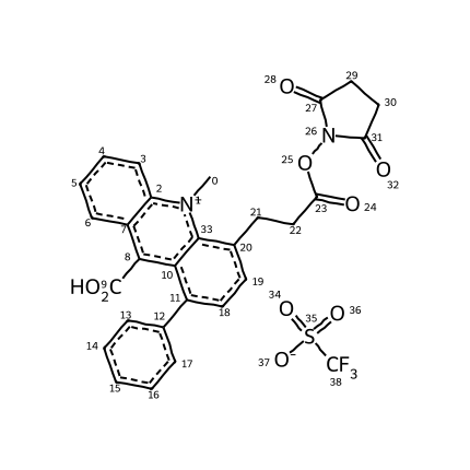 C[n+]1c2ccccc2c(C(=O)O)c2c(-c3ccccc3)ccc(CCC(=O)ON3C(=O)CCC3=O)c21.O=S(=O)([O-])C(F)(F)F